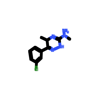 CC1N=C(N(C)N)NN=C1c1cccc(Cl)c1